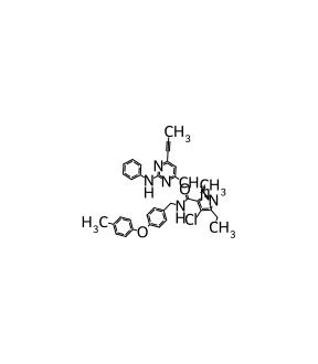 CC#Cc1cc(C)nc(Nc2ccccc2)n1.CCc1nn(C)c(C(=O)NCc2ccc(Oc3ccc(C)cc3)cc2)c1Cl